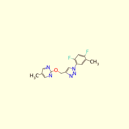 Cc1cnc(OCc2cn(-c3cc(C)c(F)cc3F)nn2)nc1